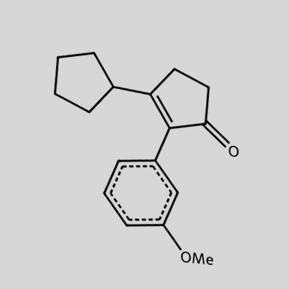 COc1cccc(C2=C(C3CCCC3)CCC2=O)c1